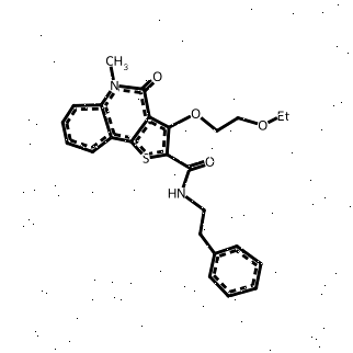 CCOCCOc1c(C(=O)NCCc2ccccc2)sc2c1c(=O)n(C)c1ccccc21